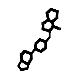 O=c1c2ncccc2ncn1Cc1ccc(-c2cnc3c(c2)C=CC3)cc1